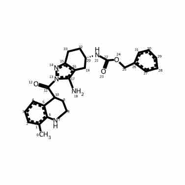 Cc1cccc2c1NCCC2C(=O)n1nc2c(c1N)C[C@@H](NC(=O)OCc1ccccc1)CC2